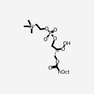 CCCCCCCCC(=O)OC[C@H](COP(=O)([O-])OCC[N+](C)(C)C)OO